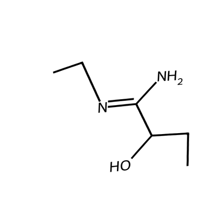 CCN=C(N)C(O)CC